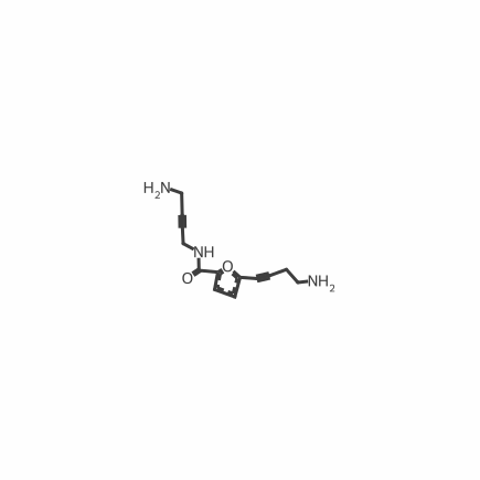 NCC#CCNC(=O)c1ccc(C#CCCN)o1